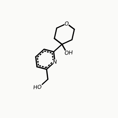 OCc1cccc(C2(O)CCOCC2)n1